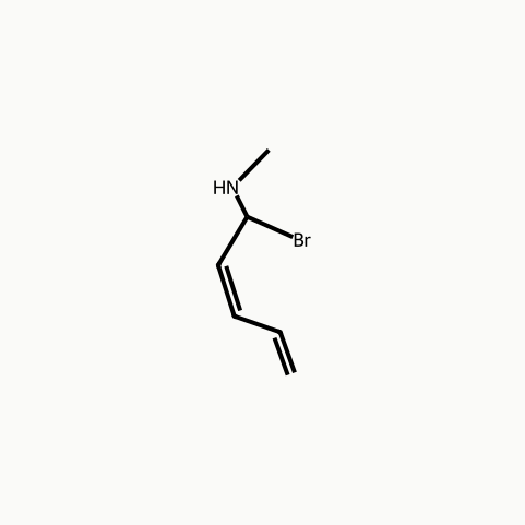 C=C/C=C\C(Br)NC